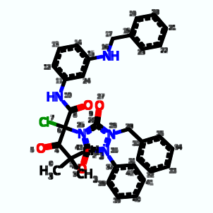 CC(C)(C)C(=O)C(Cl)(C(=O)Nc1cccc(NCc2ccccc2)c1)n1c(=O)n(Cc2ccccc2)n(-c2ccccc2)c1=O